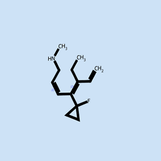 C=C/C(CC)=C(/C=C\CNC)C1(F)CC1